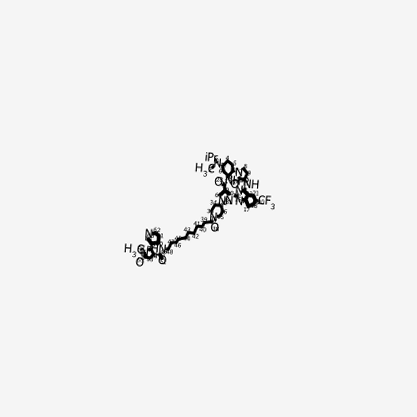 CC(C)N(C)[C@@H]1CC[C@H](N2CC[C@H](Nc3ncnc4ccc(C(F)(F)F)cc34)C2=O)[C@H](NC(=O)c2cnn(C3CCN(C(=O)CCCCCCCCCCNC(=O)[C@H]4CC(=O)N(C)[C@@H]4c4cccnc4)CC3)c2)C1